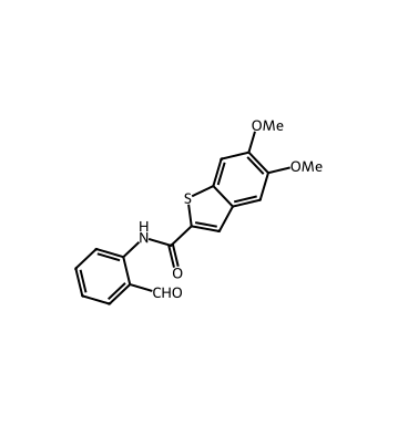 COc1cc2cc(C(=O)Nc3ccccc3C=O)sc2cc1OC